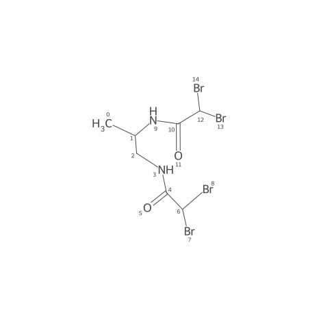 CC(CNC(=O)C(Br)Br)NC(=O)C(Br)Br